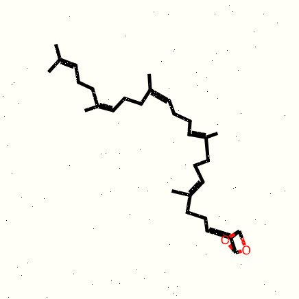 CC(C)=CCCC(C)=CCCC(C)=CCCC=C(C)CCC=C(C)CCC=C1C2OC1O2